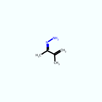 C=C(C)/C(C)=N\N